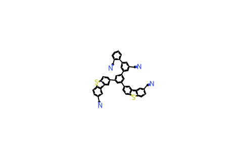 N#Cc1cc(-c2cc(-c3ccc4sc5ccc(C#N)cc5c4c3)cc(-c3ccc4sc5ccc(C#N)cc5c4c3)c2)cc(-c2ccccc2C#N)c1